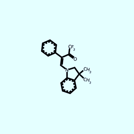 CC1(C)CN(/C=C(\C(=O)C(F)(F)F)c2ccccc2)c2ccccc21